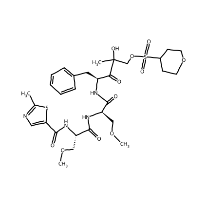 COC[C@H](NC(=O)c1cnc(C)s1)C(=O)N[C@H](COC)C(=O)N[C@@H](Cc1ccccc1)C(=O)C(C)(O)COS(=O)(=O)C1CCOCC1